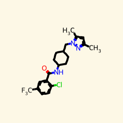 Cc1cc(C)n(CC2CCC(NC(=O)c3cc(C(F)(F)F)ccc3Cl)CC2)n1